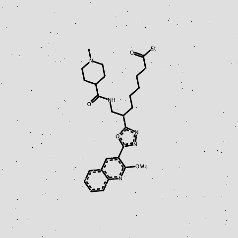 CCC(=O)CCCCCC(CNC(=O)C1CCN(C)CC1)c1nnc(-c2cc3ccccc3nc2OC)o1